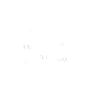 COC(=O)c1[nH]c(=O)[nH]c(=O)c1C